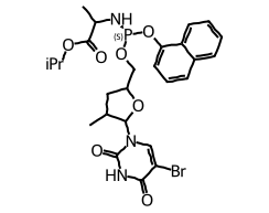 CC(C)OC(=O)C(C)N[P@](OCC1CC(C)C(n2cc(Br)c(=O)[nH]c2=O)O1)Oc1cccc2ccccc12